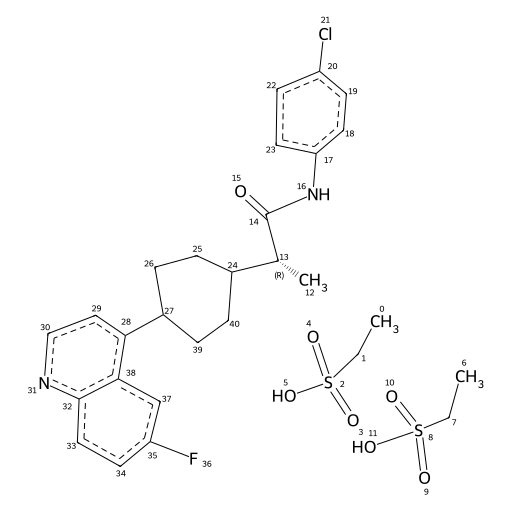 CCS(=O)(=O)O.CCS(=O)(=O)O.C[C@@H](C(=O)Nc1ccc(Cl)cc1)C1CCC(c2ccnc3ccc(F)cc23)CC1